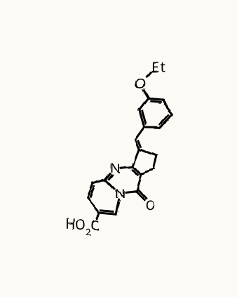 CCOc1cccc(/C=C2\CCc3c2nc2ccc(C(=O)O)cn2c3=O)c1